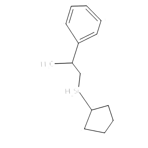 CC(C[SiH2]C1CCCC1)c1ccccc1